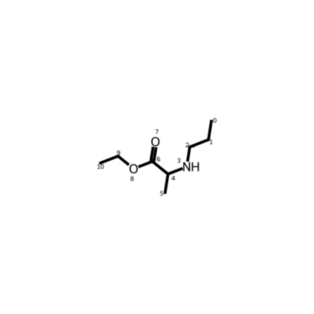 CC[CH]NC(C)C(=O)OCC